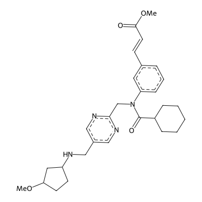 COC(=O)/C=C/c1cccc(N(Cc2ncc(CNC3CCC(OC)C3)cn2)C(=O)C2CCCCC2)c1